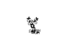 COC(=O)O[C@](Cc1ccc(OC(=O)OC(C)(C)C)c(OC(=O)OC(C)(C)C)c1)(NC(C)C)C(=O)O